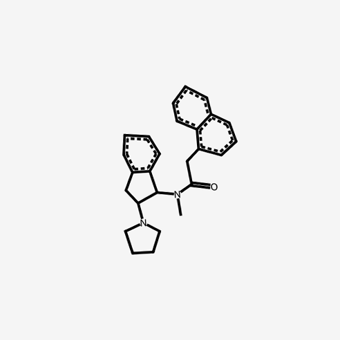 CN(C(=O)Cc1cccc2ccccc12)C1c2ccccc2CC1N1CCCC1